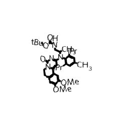 COc1cc2c(cc1OC)-c1cc(N(c3c(C(C)C)cc(C)cc3C(C)C)C(C)CNC(=O)OC(C)(C)C)nc(=O)n1CC2